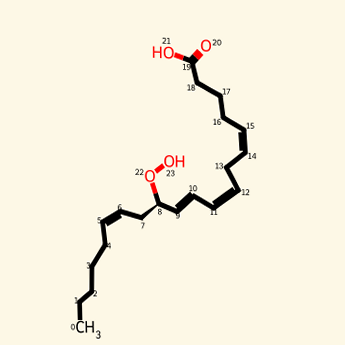 CCCCC/C=C\C[C@H](/C=C/C=C\C/C=C\CCCC(=O)O)OO